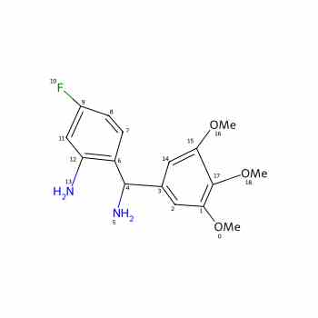 COc1cc(C(N)c2ccc(F)cc2N)cc(OC)c1OC